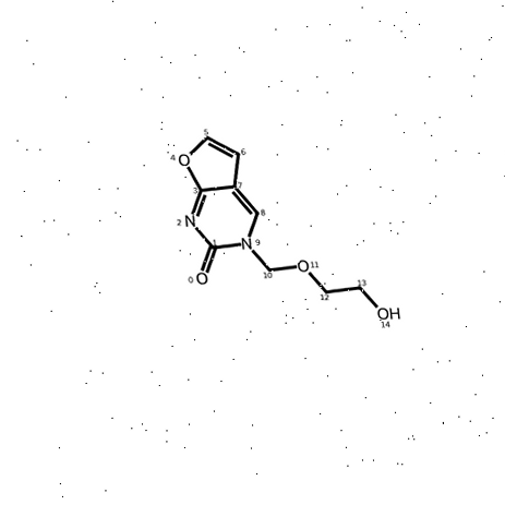 O=c1nc2occc2cn1COCCO